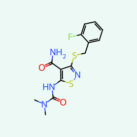 CN(C)C(=O)Nc1snc(SCc2ccccc2F)c1C(N)=O